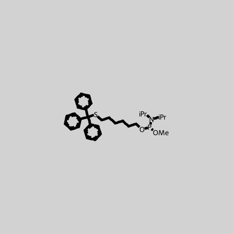 COP(OCCCCCCSC(c1ccccc1)(c1ccccc1)c1ccccc1)N(C(C)C)C(C)C